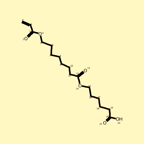 C=CC(=O)OCCCCCCCC(=O)OCCCCCC(=O)O